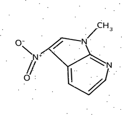 Cn1cc([N+](=O)[O-])c2cccnc21